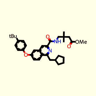 COC(=O)CC(C)(C)CNC(=O)c1cc2cc(Oc3ccc(C(C)(C)C)cc3)ccc2c(CC2CCCC2)n1